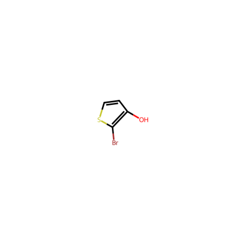 Oc1ccsc1Br